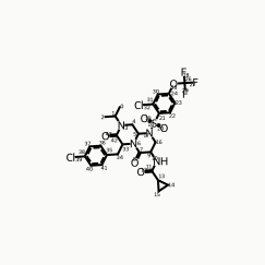 CC(C)N1CC2N(C(=O)C(NC(=O)C3CC3)CN2S(=O)(=O)c2ccc(OC(F)(F)F)cc2Cl)C(Cc2ccc(Cl)cc2)C1=O